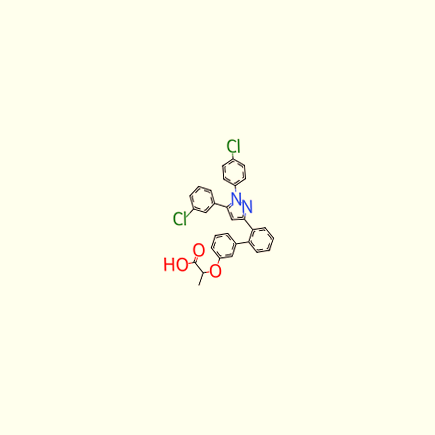 CC(Oc1cccc(-c2ccccc2-c2cc(-c3cccc(Cl)c3)n(-c3ccc(Cl)cc3)n2)c1)C(=O)O